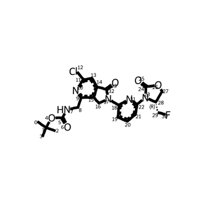 CC(C)(C)OC(=O)NCc1nc(Cl)cc2c1CN(c1cccc(N3C(=O)OC[C@@H]3CF)n1)C2=O